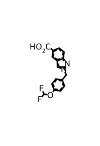 O=C(O)c1ccc2nn(Cc3ccc(OC(F)F)cc3)cc2c1